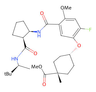 COc1cc(F)c(O[C@H]2CC[C@@](C)(C(=O)OC)CC2)cc1C(=O)N[C@@H]1CCC[C@@H]1C(=O)N[C@@H](C)C(C)(C)C